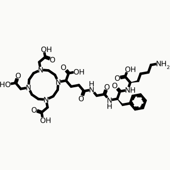 NCCCC[C@@H](NC(=O)[C@@H](Cc1ccccc1)NC(=O)CNC(=O)CCC(C(=O)O)N1CCN(CC(=O)O)CCN(CC(=O)O)CCN(CC(=O)O)CC1)C(=O)O